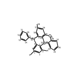 Cc1cc(C)c2c(c1)N(c1ccccc1)c1cc(C)cc3c1B2c1ccccc1O3